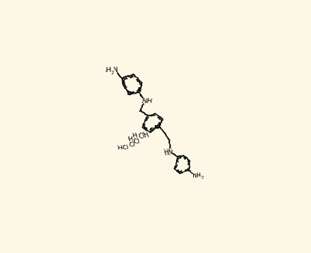 Cl.Cl.Cl.Cl.Nc1ccc(NCc2ccc(CNc3ccc(N)cc3)cc2)cc1